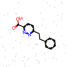 O=C(O)c1ccc(CCc2ccccc2)nn1